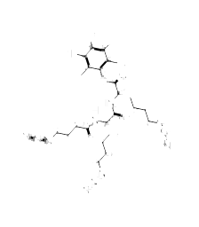 Cc1c(F)c(F)c(F)c(F)c1OC(=O)[C@H](CCCCN=[N+]=[N-])NC(=O)[C@H](CCCCN=[N+]=[N-])NC(=O)CCCN=[N+]=[N-]